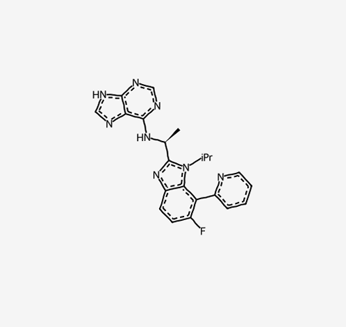 CC(C)n1c([C@H](C)Nc2ncnc3[nH]cnc23)nc2ccc(F)c(-c3ccccn3)c21